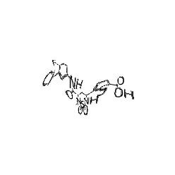 CN1C(C(=O)Nc2ccc(F)c(Cl)c2)CC(c2ccc(C(=O)O)s2)NS1(=O)=O